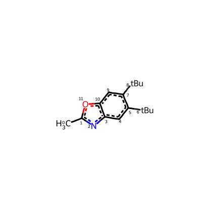 Cc1nc2cc(C(C)(C)C)c(C(C)(C)C)cc2o1